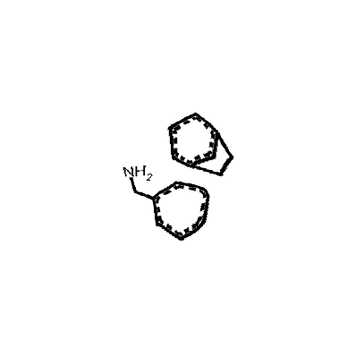 NCc1ccccc1.c1cc2cc(c1)CC2